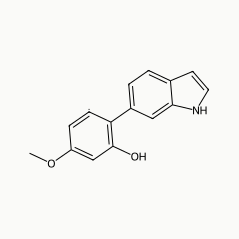 COc1c[c]c(-c2ccc3cc[nH]c3c2)c(O)c1